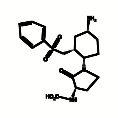 N[C@@H]1CC[C@H](N2CC[C@H](NC(=O)O)C2=O)[C@H](CS(=O)(=O)c2ccccc2)C1